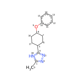 Cc1nnc(C2CCC(Oc3ccccc3)CC2)[nH]1